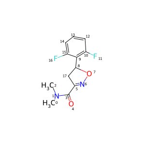 CN(C)C(=O)C1=NOC(c2c(F)cccc2F)C1